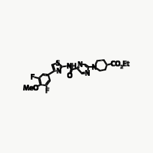 CCOC(=O)C1CCN(c2cnc(C(=O)Nc3nc(-c4cc(F)c(OC)c(F)c4)cs3)cn2)CC1